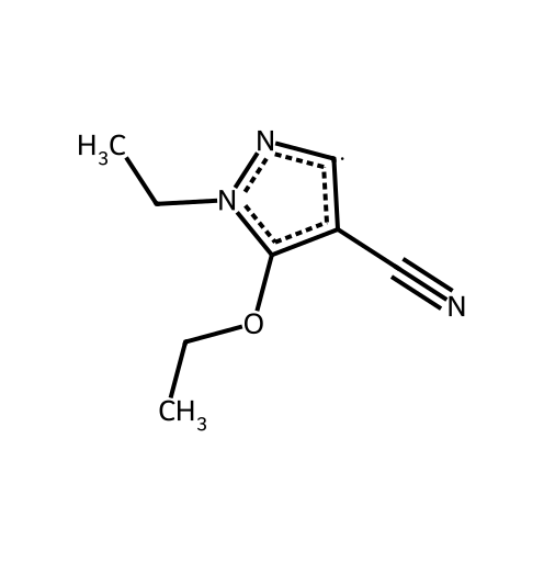 CCOc1c(C#N)[c]nn1CC